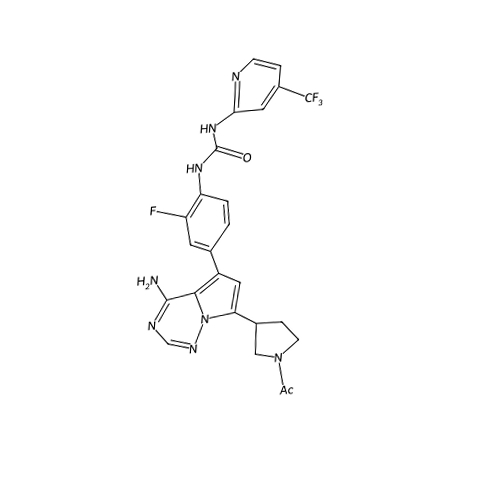 CC(=O)N1CCC(c2cc(-c3ccc(NC(=O)Nc4cc(C(F)(F)F)ccn4)c(F)c3)c3c(N)ncnn23)C1